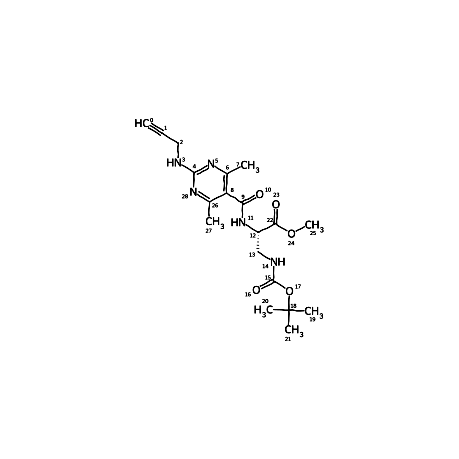 C#CCNc1nc(C)c(C(=O)N[C@@H](CNC(=O)OC(C)(C)C)C(=O)OC)c(C)n1